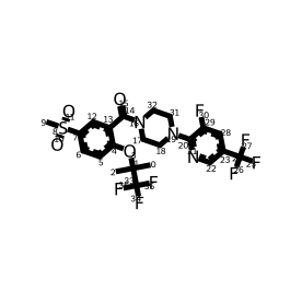 CC(C)(Oc1ccc(S(C)(=O)=O)cc1C(=O)N1CCN(c2ncc(C(F)(F)F)cc2F)CC1)C(F)(F)F